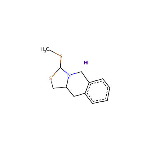 CSC1SCC2Cc3ccccc3CN21.I